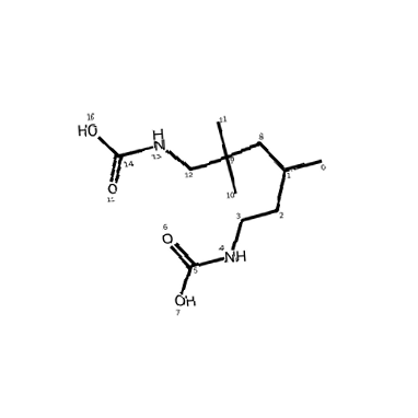 CC(CCNC(=O)O)CC(C)(C)CNC(=O)O